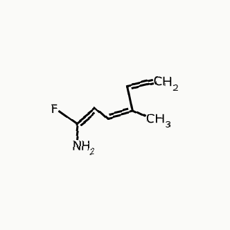 C=C/C(C)=C\C=C(/N)F